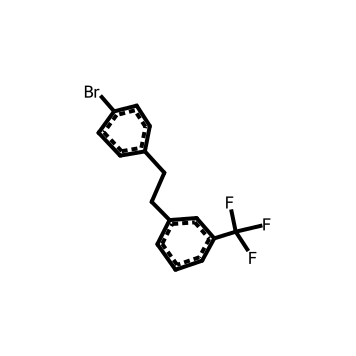 FC(F)(F)c1cccc(CCc2ccc(Br)cc2)c1